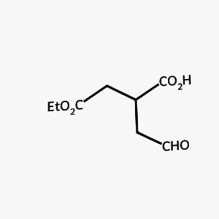 CCOC(=O)CC(CC=O)C(=O)O